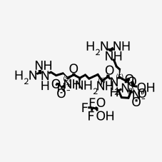 N=C(N)NCCC[C@H](N[N+](=O)[O-])C(=O)C(N)CCC[C@H](N)C(=O)N[C@@H](CCCNC(=N)N)C(=O)N1CCC[C@]1(C(=O)O)[N+](=O)[O-].O=C(O)C(F)(F)F